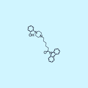 O=C(CCCCCN1CCN(c2ccccc2O)CC1)n1c2ccccc2c2ccccc21